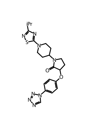 CC(C)c1nsc(N2CCC(N3CCC(Oc4ccc(-n5cnnn5)cc4)C3=O)CC2)n1